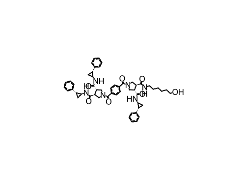 O=C(NCCCCCCO)[C@@H]1CN(C(=O)c2ccc(C(=O)N3C[C@@H](C(=O)N[C@H]4C[C@@H]4c4ccccc4)[C@H](C(=O)N[C@H]4C[C@@H]4c4ccccc4)C3)cc2)C[C@H]1C(=O)N[C@H]1C[C@@H]1c1ccccc1